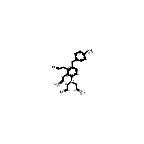 C=CCc1c(Cc2ccc(N)cc2)ccc(N(CC=C)CC=C)c1CC=C